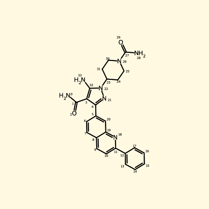 NC(=O)c1c(-c2ccc3ccc(-c4ccccc4)nc3c2)nn(C2CCN(C(N)=O)CC2)c1N